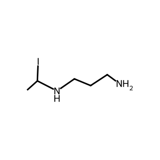 CC(I)NCCCN